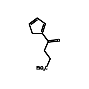 CCOC(=O)CCC(=O)C1=CC=CC1